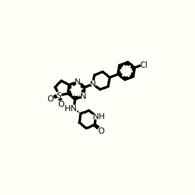 O=C1CC[C@H](Nc2nc(N3CCC(c4ccc(Cl)cc4)CC3)nc3c2S(=O)(=O)CC3)CN1